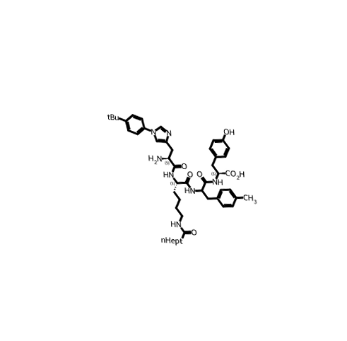 CCCCCCCC(=O)NCCCC[C@H](NC(=O)[C@@H](N)Cc1cn(-c2ccc(C(C)(C)C)cc2)cn1)C(=O)NC(Cc1ccc(C)cc1)C(=O)N[C@@H](Cc1ccc(O)cc1)C(=O)O